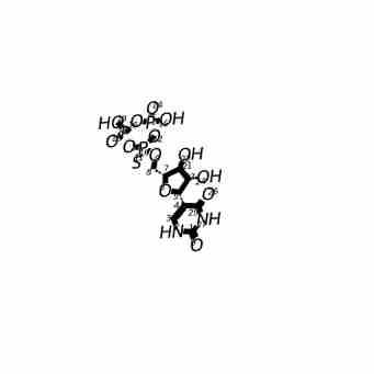 O=c1[nH]cc([C@@H]2O[C@H](COP3(=S)OP(=O)(O)OP(=O)(O)O3)C(O)[C@@H]2O)c(=O)[nH]1